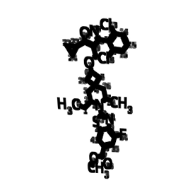 CCC1CC2(CC(OCc3c(-c4c(Cl)cccc4Cl)noc3C3CC3)C2)CC(C)N1c1nc2c(F)cc(C(=O)OC)cc2s1